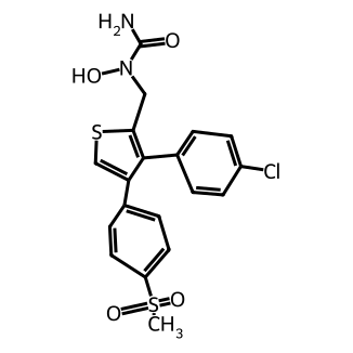 CS(=O)(=O)c1ccc(-c2csc(CN(O)C(N)=O)c2-c2ccc(Cl)cc2)cc1